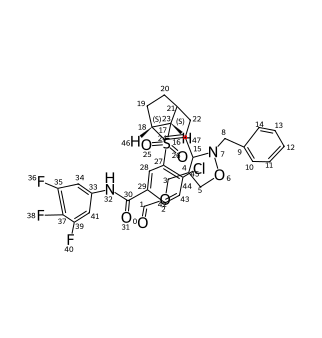 O=COCC1CON(Cc2ccccc2)C1C1=C[C@@H]2CCC(C1)[C@@H]2S(=O)(=O)c1cc(C(=O)Nc2cc(F)c(F)c(F)c2)ccc1Cl